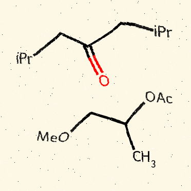 CC(C)CC(=O)CC(C)C.COCC(C)OC(C)=O